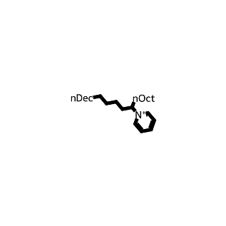 CCCCCCCCCCCCCCC(CCCCCCCC)[n+]1ccccc1